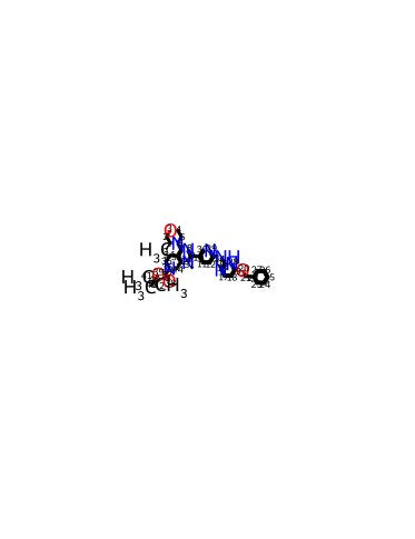 C[C@H]1COCCN1c1nc(-c2ccc(Nc3nccc(OCc4ccccc4)n3)nc2)nc2c1CCN(C(=O)OC(C)(C)C)C2